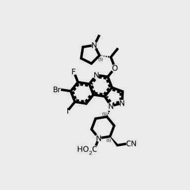 CC(Oc1nc2c(F)c(Br)c(I)cc2c2c1cnn2[C@H]1CCN(C(=O)O)[C@H](CC#N)C1)[C@@H]1CCCN1C